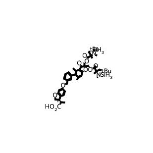 Cc1cc2c(c(C)c1-c1cccc(COc3ccc4c(c3)OC[C@H]4C(C)C(=O)O)c1)C(=O)C(COC(=O)C(C)(CC(C)(C)C)N(C)[SiH3])(COC(=O)C(C)(CC(C)(C)C)N(C)[SiH3])O2